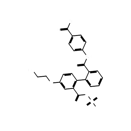 CS(=O)(=O)OC(=O)c1cc(OCCO)ccc1-c1ccccc1C(=O)Nc1ccc(C(=N)N)cc1